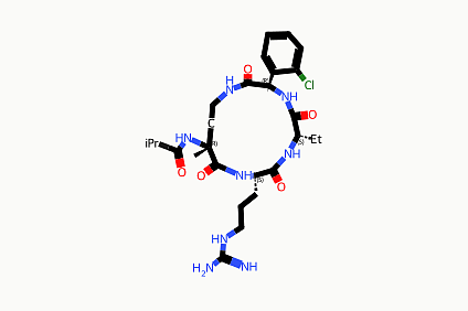 CC[C@@H]1NC(=O)[C@H](CCCNC(=N)N)NC(=O)[C@](C)(NC(=O)C(C)C)CCNC(=O)[C@@H](c2ccccc2Cl)NC1=O